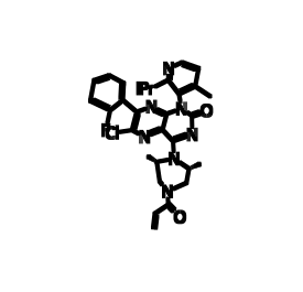 C=CC(=O)N1C[C@@H](C)N(c2nc(=O)n(-c3c(C)ccnc3C(C)C)c3nc(-c4ccccc4F)c(Cl)nc23)[C@@H](C)C1